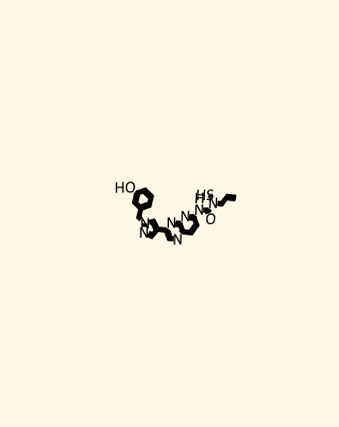 C=CCN(S)C(=O)Nc1ccc2ncc(-c3cnn(Cc4cccc(O)c4)c3)nc2n1